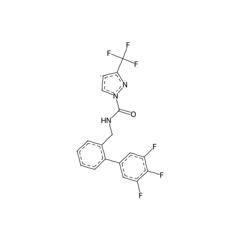 O=C(NCc1ccccc1-c1cc(F)c(F)c(F)c1)n1c[c]c(C(F)(F)F)n1